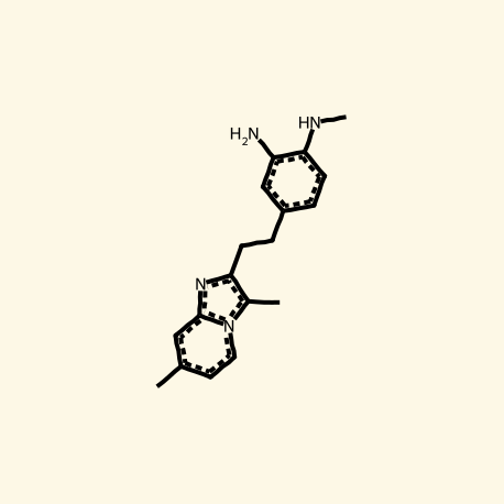 CNc1ccc(CCc2nc3cc(C)ccn3c2C)cc1N